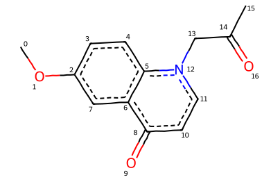 COc1ccc2c(c1)c(=O)ccn2CC(C)=O